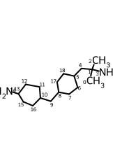 CC(C)(N)CC1CCC(CC2CCC(N)CC2)CC1